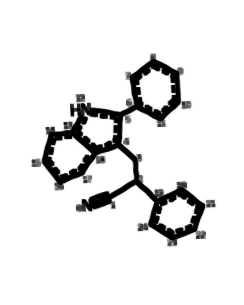 N#CC(Cc1c(-c2ccccc2)[nH]c2ccccc12)c1ccccc1